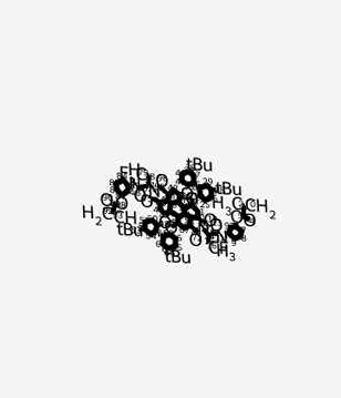 C=C(C)C(=O)Oc1cccc(NC(=O)C(CC(F)(F)F)N2C(=O)c3cc(Oc4ccc(C(C)(C)C)cc4)c4c5c(Oc6ccc(C(C)(C)C)cc6)cc6c7c(cc(Oc8ccc(C(C)(C)C)cc8)c(c8c(Oc9ccc(C(C)(C)C)cc9)cc(c3c48)C2=O)c75)C(=O)N(C(CC(F)(F)F)C(=O)Nc2cccc(OC(=O)C(=C)C)c2)C6=O)c1